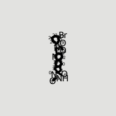 CN1C(=O)NC(=O)C12Cc1cc3ccc(Cn4c(=O)oc5c(Br)cccc54)nc3cc1C2